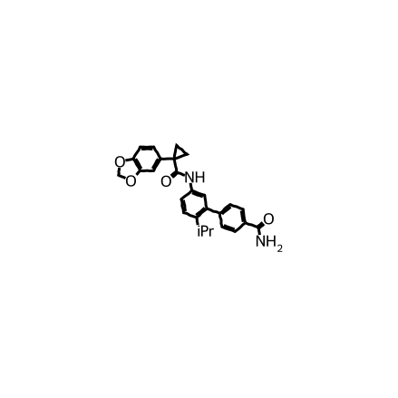 CC(C)c1ccc(NC(=O)C2(c3ccc4c(c3)OCO4)CC2)cc1-c1ccc(C(N)=O)cc1